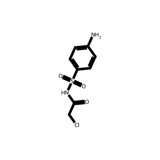 Nc1ccc(S(=O)(=O)NC(=O)CCl)cc1